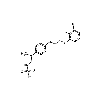 CC(CNS(=O)(=O)C(C)C)c1ccc(OCCOc2cccc(F)c2F)cc1